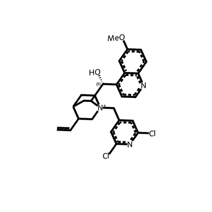 C=CC1C[N+]2(Cc3cc(Cl)nc(Cl)c3)CCC1CC2[C@H](O)c1ccnc2ccc(OC)cc12